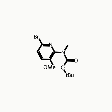 COc1ccc(Br)nc1N(C)C(=O)OC(C)(C)C